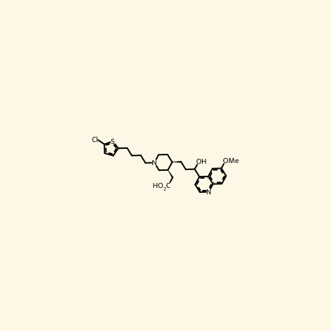 COc1ccc2nccc(C(O)CC[C@@H]3CCN(CCCCc4ccc(Cl)s4)C[C@@H]3CC(=O)O)c2c1